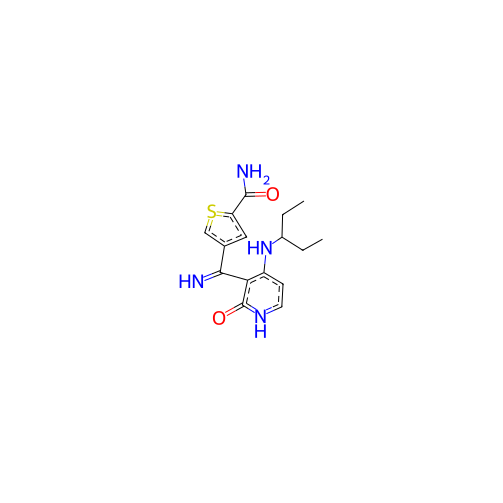 CCC(CC)Nc1cc[nH]c(=O)c1C(=N)c1csc(C(N)=O)c1